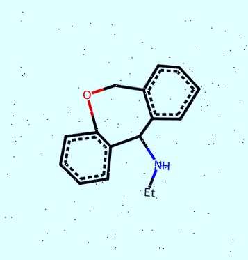 CCNC1c2ccccc2COc2ccccc21